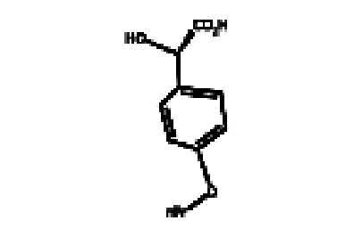 CCCOc1ccc([C@@H](O)C(=O)O)cc1